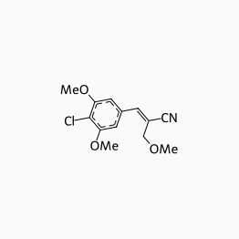 COCC(C#N)=Cc1cc(OC)c(Cl)c(OC)c1